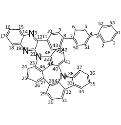 c1ccc(-c2ccc(-c3ccc(-c4nc5ccccc5nc4-n4c5cccc6c7cccc8c9ccccc9n(c9cccc4c9c65)c78)cc3)cc2)cc1